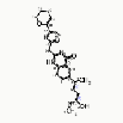 C=N/C(O)=C\C=C(/C)c1ccc2[nH]c(Cc3nc(C4=CCCCO4)no3)nc(=O)c2c1